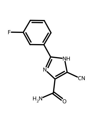 N#Cc1[nH]c(-c2cccc(F)c2)nc1C(N)=O